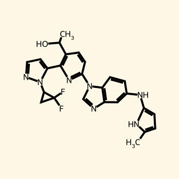 Cc1ccc(Nc2ccc3c(c2)ncn3-c2ccc(C(C)O)c(-c3ccnn3C3CC3(F)F)n2)[nH]1